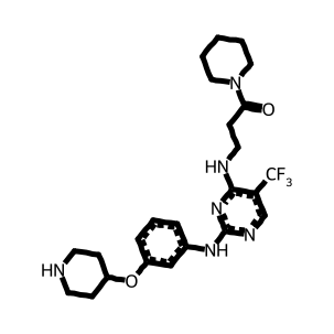 O=C(CCNc1nc(Nc2cccc(OC3CCNCC3)c2)ncc1C(F)(F)F)N1CCCCC1